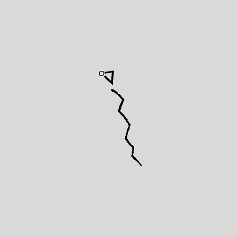 C1CO1.CCCCCCCC